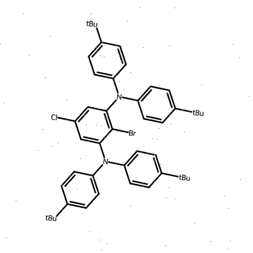 CC(C)(C)c1ccc(N(c2ccc(C(C)(C)C)cc2)c2cc(Cl)cc(N(c3ccc(C(C)(C)C)cc3)c3ccc(C(C)(C)C)cc3)c2Br)cc1